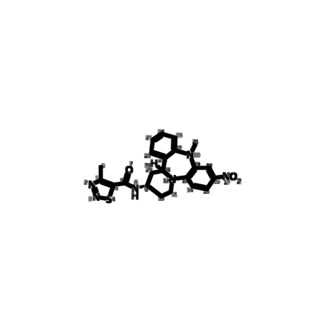 Cc1nnsc1C(=O)N[C@H]1CCN2c3ccc([N+](=O)[O-])cc3N(C)c3ccccc3[C@H]2C1